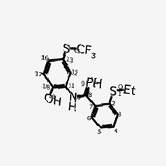 CCSc1ccccc1C(=P)Nc1cc(SC(F)(F)F)ccc1O